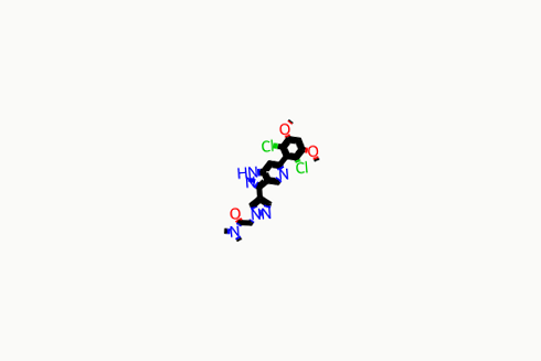 COc1cc(OC)c(Cl)c(-c2cc3[nH]nc(-c4cnn(CC(=O)N(C)C)c4)c3cn2)c1Cl